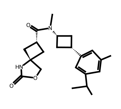 Cc1cc(C(C)C)cc([C@H]2C[C@@H](N(C)C(=O)[C@H]3C[C@]4(COC(=O)N4)C3)C2)c1